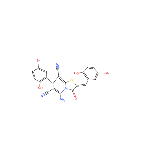 N#CC1=C(N)n2c(sc(=Cc3cc(Br)ccc3O)c2=O)=C(C#N)C1c1cc(Br)ccc1O